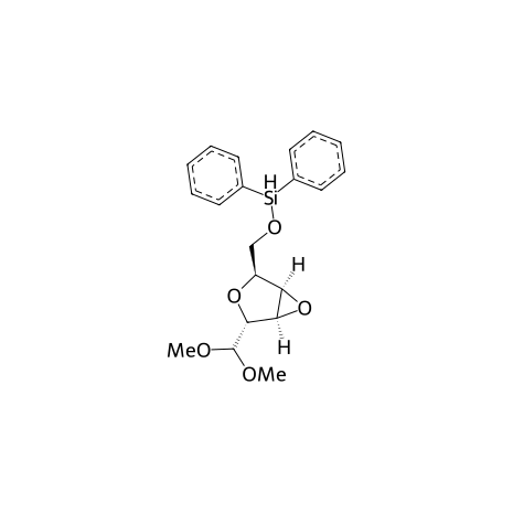 COC(OC)[C@@H]1O[C@@H](CO[SiH](c2ccccc2)c2ccccc2)[C@H]2O[C@H]21